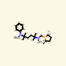 CC(C)N(CP1[C@H](C)CC[C@H]1C)C(C)(C)CCC(C)(C)N(c1ccccc1)C(C)(C)C